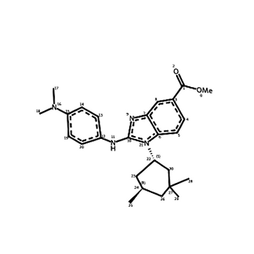 COC(=O)c1ccc2c(c1)nc(Nc1ccc(N(C)C)cc1)n2[C@H]1C[C@H](C)CC(C)(C)C1